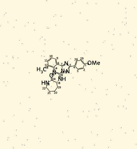 COc1ccc(-c2nc3c4cccc(C)c4nc(N[C@@H]4CCCCNC4=O)n3n2)cc1